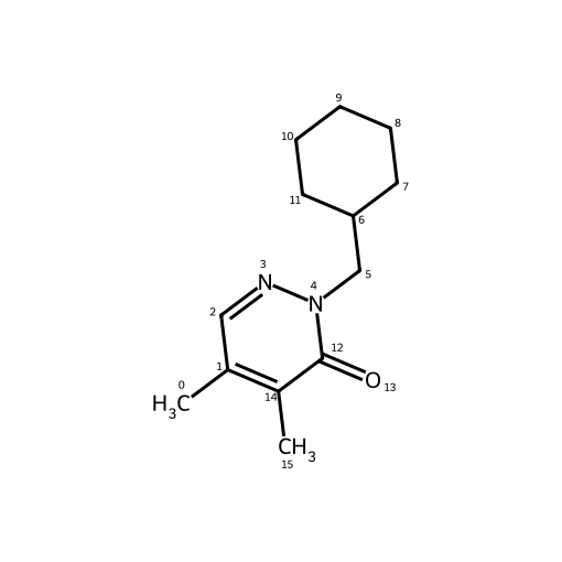 Cc1cnn(CC2CCCCC2)c(=O)c1C